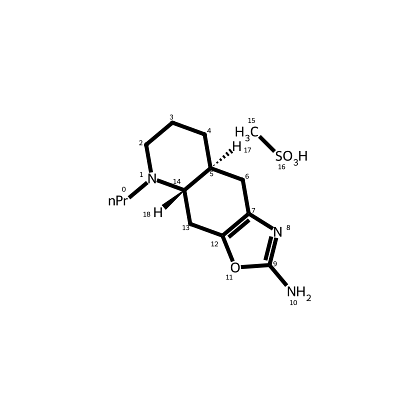 CCCN1CCC[C@H]2Cc3nc(N)oc3C[C@@H]21.CS(=O)(=O)O